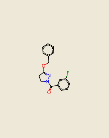 O=C(c1cccc(F)c1)N1CCC(OCc2ccccc2)=N1